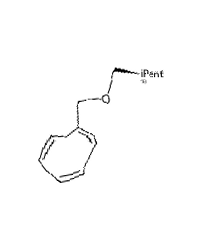 CCC[C@H](C)COCc1ccccc1